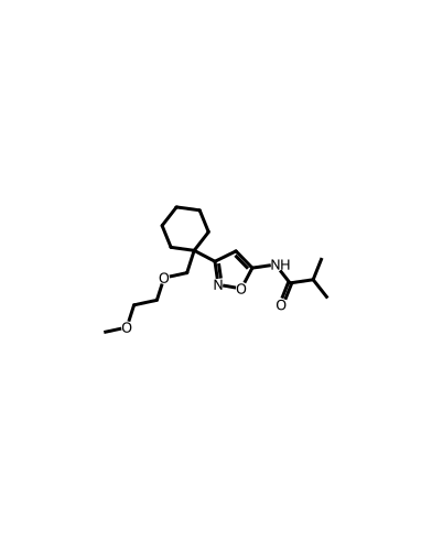 COCCOCC1(c2cc(NC(=O)C(C)C)on2)CCCCC1